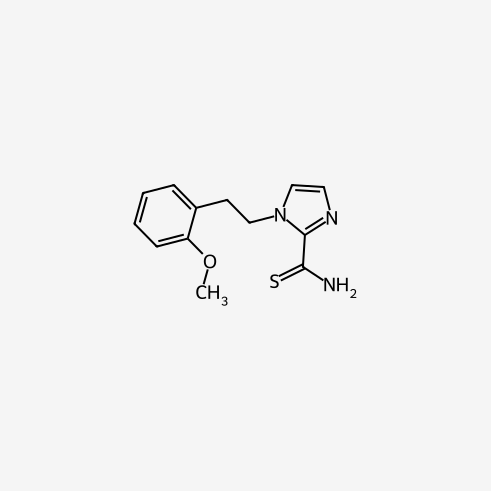 COc1ccccc1CCn1ccnc1C(N)=S